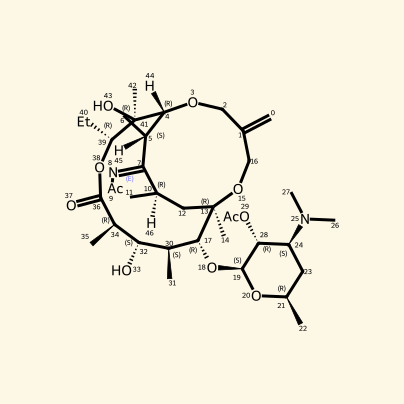 C=C1CO[C@@H]2[C@@H](C)/C(=N/C(C)=O)[C@H](C)C[C@@](C)(OC1)[C@H](O[C@@H]1O[C@H](C)C[C@H](N(C)C)[C@H]1OC(C)=O)[C@@H](C)[C@H](O)[C@@H](C)C(=O)O[C@H](CC)[C@@]2(C)O